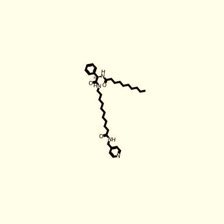 CCCCCCCCCC(=O)N[C@@H](C(=O)NCCCCCCCCCCC(=O)NCc1ccncc1)c1ccccc1